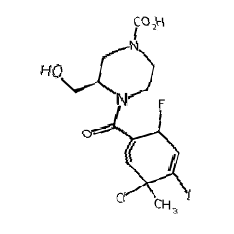 CC1(Cl)C=C(C(=O)N2CCN(C(=O)O)C[C@@H]2CO)C(F)C=C1I